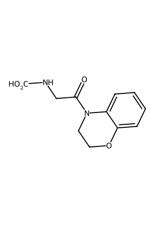 O=C(O)NCC(=O)N1CCOc2ccccc21